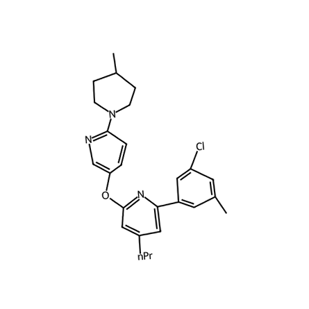 CCCc1cc(Oc2ccc(N3CCC(C)CC3)nc2)nc(-c2cc(C)cc(Cl)c2)c1